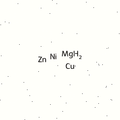 [Cu].[MgH2].[Ni].[Zn]